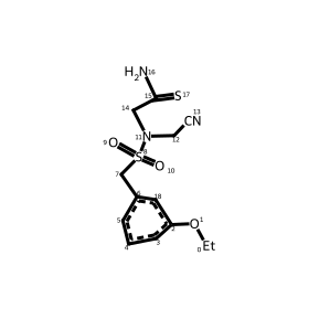 CCOc1cccc(CS(=O)(=O)N(CC#N)CC(N)=S)c1